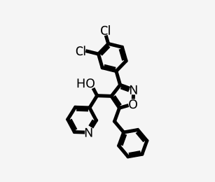 OC(c1cccnc1)c1c(-c2ccc(Cl)c(Cl)c2)noc1Cc1ccccc1